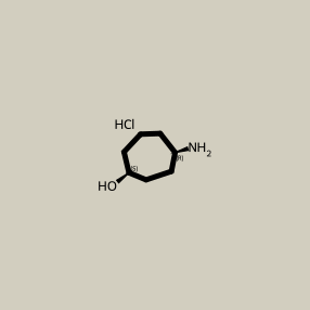 Cl.N[C@@H]1CCC[C@H](O)CC1